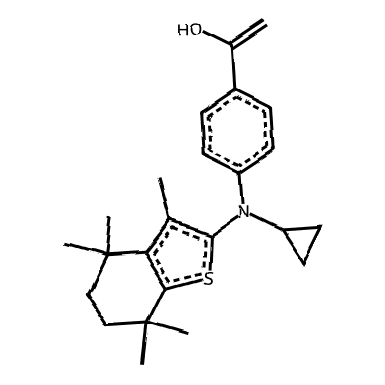 C=C(O)c1ccc(N(c2sc3c(c2C)C(C)(C)CCC3(C)C)C2CC2)cc1